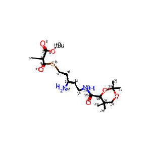 CC(C(=O)OC(C)(C)C)C(=O)SCCC(N)CCNC(=O)C1OC(C)(C)OCC1(C)C